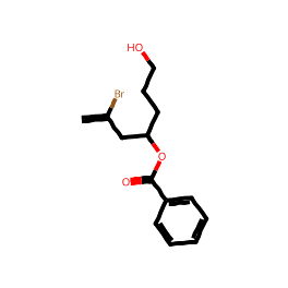 C=C(Br)CC(CCCO)OC(=O)c1ccccc1